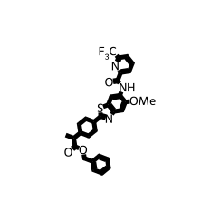 COc1cc2nc(C3CCC(C(C)C(=O)OCc4ccccc4)CC3)sc2cc1NC(=O)c1cccc(C(F)(F)F)n1